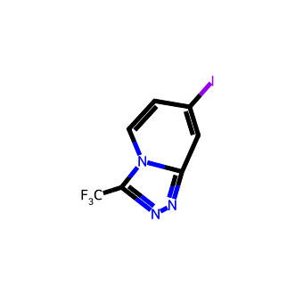 FC(F)(F)c1nnc2cc(I)ccn12